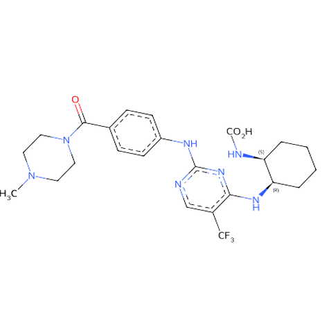 CN1CCN(C(=O)c2ccc(Nc3ncc(C(F)(F)F)c(N[C@@H]4CCCC[C@@H]4NC(=O)O)n3)cc2)CC1